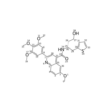 COc1ccc2nc(-c3cc(OC)c(OC)c(OC)c3)cc(C(=O)N[C@H](CCO)Cc3cccs3)c2c1